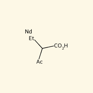 CCC(C(C)=O)C(=O)O.[Nd]